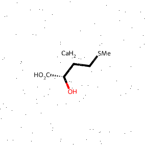 CSCC[C@H](O)C(=O)O.[CaH2]